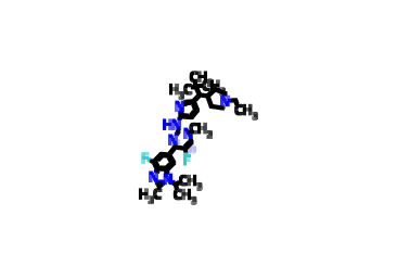 C=N/C=C(F)\C(=N/CNc1ccc(C(C2CCN(CC)CC2)C(C)(C)C)cn1)c1cc(F)c2nc(C)n(C(C)C)c2c1